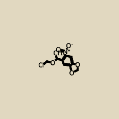 CC(OCCl)c1cc2c(cc1[N+](=O)[O-])OCO2